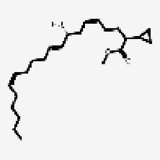 CCCCC/C=C\CCC/C=C/[C@H](O)C/C=C\CCC(C(=O)OC)C1CC1